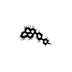 Cc1ccc(-c2ccc(-c3ccc4ccc5cccc6ccc3c4c56)cc2)cc1